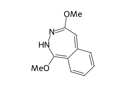 COC1=NNC(OC)=c2ccccc2=C1